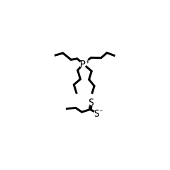 CCCC(=S)[S-].CCCC[P+](CCCC)(CCCC)CCCC